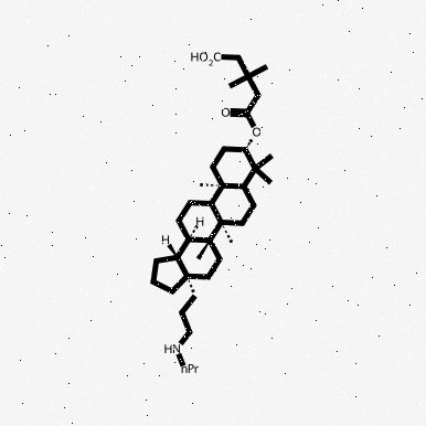 CCCNCCC[C@]12CCC[C@@H]1[C@H]1CCC3[C@@]4(C)CC[C@H](OC(=O)CC(C)(C)CC(=O)O)C(C)(C)C4CC[C@@]3(C)[C@]1(C)CC2